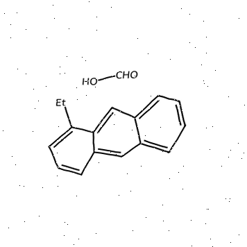 CCc1cccc2cc3ccccc3cc12.O=CO